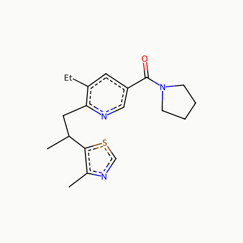 CCc1cc(C(=O)N2CCCC2)cnc1CC(C)c1scnc1C